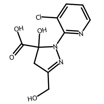 O=C(O)C1(O)CC(CO)=NN1c1ncccc1Cl